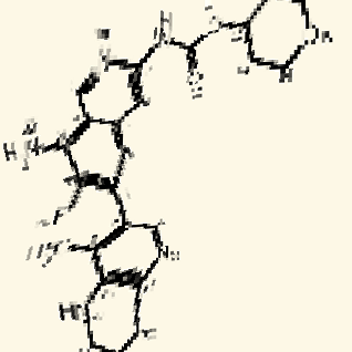 Cc1c(-c2cc3cc(NC(=O)OC4CCOCC4)ncc3c(N)c2F)cnc2c1NCCC2